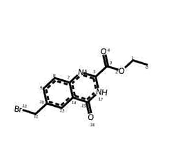 CCOC(=O)c1nc2ccc(CBr)cc2c(=O)[nH]1